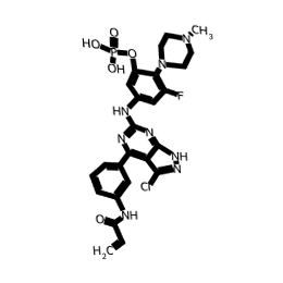 C=CC(=O)Nc1cccc(-c2nc(Nc3cc(F)c(N4CCN(C)CC4)c(OP(=O)(O)O)c3)nc3[nH]nc(Cl)c23)c1